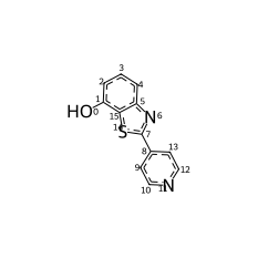 Oc1cccc2nc(-c3ccncc3)sc12